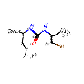 O=CC(CCC(=O)O)NC(=O)NC(CS)C(=O)O